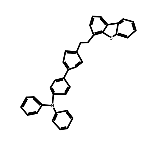 c1ccc(N(c2ccccc2)c2ccc(-c3ccc(CCc4cccc5c4sc4ccccc45)cc3)cc2)cc1